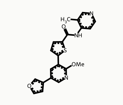 COc1ncc(-c2ccoc2)cc1-c1ccc(C(=O)Nc2ccncc2C)s1